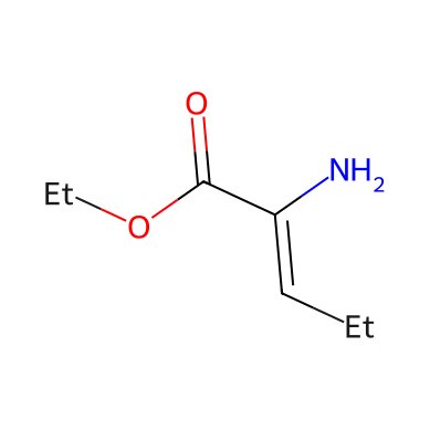 CCC=C(N)C(=O)OCC